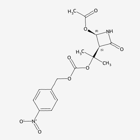 CC(=O)O[C@H]1NC(=O)[C@H]1C(C)(C)OC(=O)OCc1ccc([N+](=O)[O-])cc1